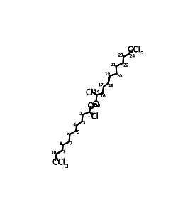 ClC(CCCCCCCCCC(Cl)(Cl)Cl)OOC(Cl)CCCCCCCCCC(Cl)(Cl)Cl